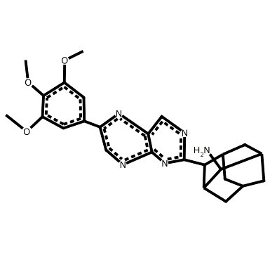 COc1cc(-c2cnc3nc(C4C5CC6CC(C5)C(N)C4C6)ncc3n2)cc(OC)c1OC